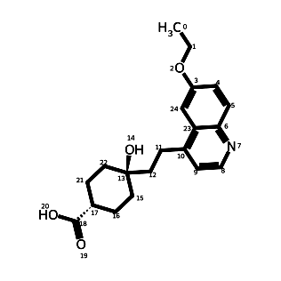 CCOc1ccc2nccc(CC[C@]3(O)CC[C@H](C(=O)O)CC3)c2c1